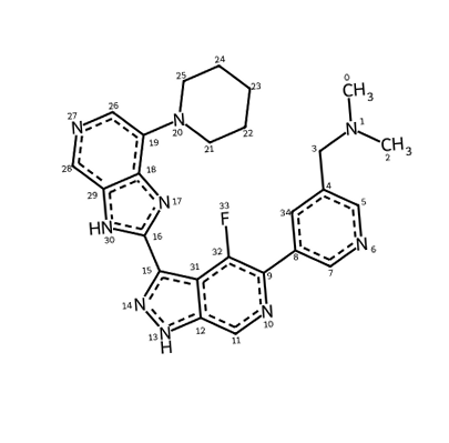 CN(C)Cc1cncc(-c2ncc3[nH]nc(-c4nc5c(N6CCCCC6)cncc5[nH]4)c3c2F)c1